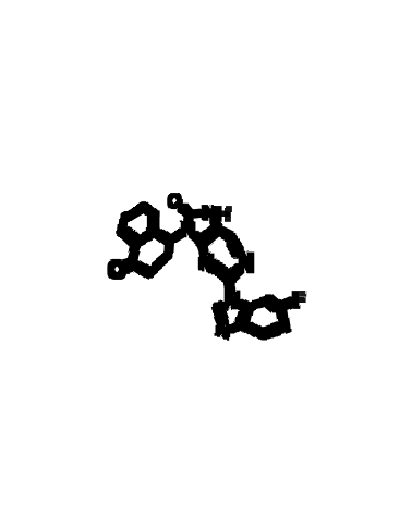 O=C1CCC(n2c(=O)[nH]c3cnc(-n4cnc5ccc(F)cc54)nc32)c2ccccc21